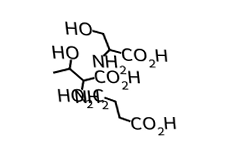 CC(O)C(N)C(=O)O.NC(CO)C(=O)O.O=C(O)CCC(=O)O